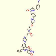 Cc1nn(C2CCC(=O)NC2=O)c(=O)c2cc(N3CCN(CCCC(=O)N4CCC(COc5cnc(-c6cccc(Cn7nc(-c8cccc(C#N)c8)ccc7=O)c6)nc5)CC4)CC3)ccc12